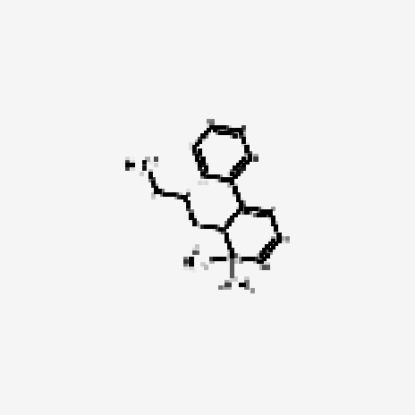 CCCCC1C(c2ccccc2)=CC=CC1(C)C